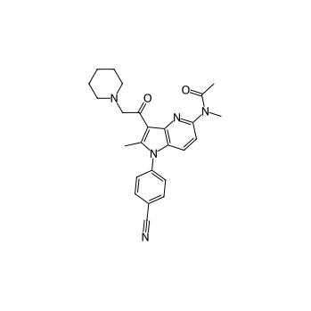 CC(=O)N(C)c1ccc2c(n1)c(C(=O)CN1CCCCC1)c(C)n2-c1ccc(C#N)cc1